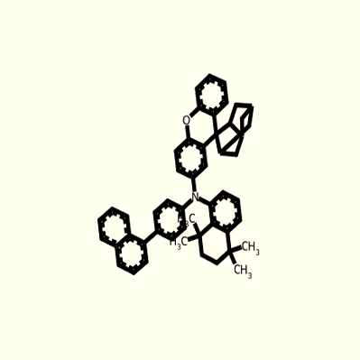 CC1(C)CCC(C)(C)c2c(N(c3ccc(-c4cccc5ccccc45)cc3)c3ccc4c(c3)C3(c5ccccc5O4)C4CC5CC(C4)C3C5)cccc21